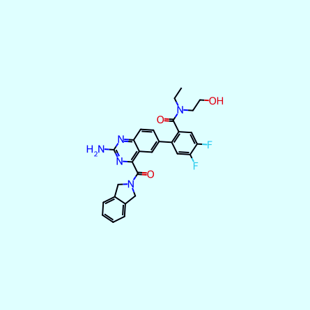 CCN(CCO)C(=O)c1cc(F)c(F)cc1-c1ccc2nc(N)nc(C(=O)N3Cc4ccccc4C3)c2c1